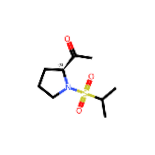 CC(=O)[C@@H]1CCCN1S(=O)(=O)C(C)C